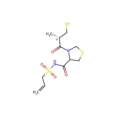 C=CCS(=O)(=O)NC(=O)C1CSCN1C(=O)[C@H](C)CS